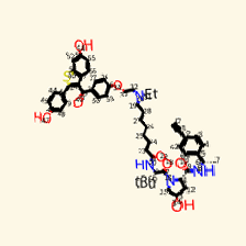 C#Cc1ccc([C@H](C)NC(=O)[C@@H]2C[C@@H](O)CN2C(=O)[C@@H](NC(=O)CCCCCCCN(CC)CCOc2ccc(C(=O)c3c(-c4ccc(O)cc4)sc4cc(O)ccc34)cc2)C(C)(C)C)cc1